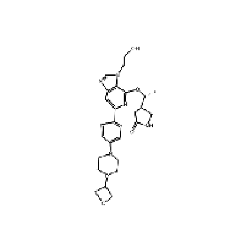 C[C@@H](Oc1nc(-c2ccc(N3CCN(C4COC4)CC3)cc2)cc2ncn(CCO)c12)C1CNC(=O)C1